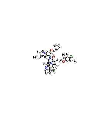 C/C=C1/N=C(C)C(c2c(Cl)ccc3c(CCCOc4cc(C)c(Cl)c(C)c4)c4n(c23)[C@H](C)CN(c2cc(OCc3ccccc3)cc3c2cc(C(=O)O)n3C)C4=O)=C1C